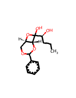 CCC[C@H](O)C1(O)O[C@@H]2COC(c3ccccc3)O[C@H]21